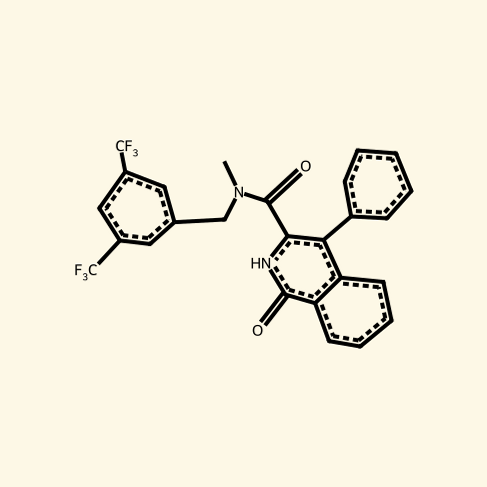 CN(Cc1cc(C(F)(F)F)cc(C(F)(F)F)c1)C(=O)c1[nH]c(=O)c2ccccc2c1-c1ccccc1